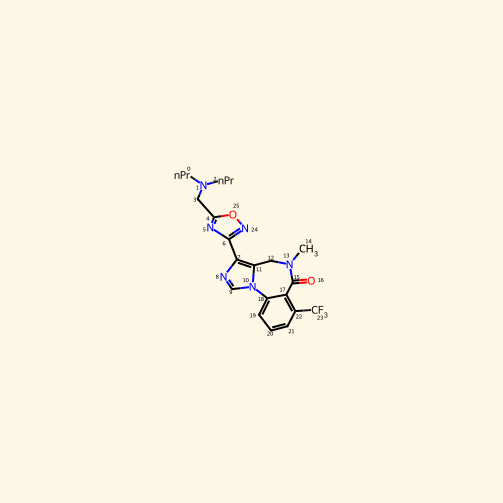 CCCN(CCC)Cc1nc(-c2ncn3c2CN(C)C(=O)c2c-3cccc2C(F)(F)F)no1